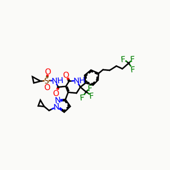 O=C1NC(c2ccc(CCCCC(F)(F)F)cc2)(C(F)(F)F)CC(c2ccn(CC3CC3)n2)=C1C(=O)NS(=O)(=O)C1CC1